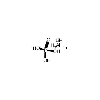 O=P(O)(O)O.[AlH3].[LiH].[Ti]